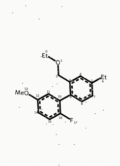 CCOCc1cc(CC)ccc1-c1cc(OC)ccc1F